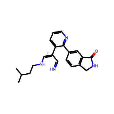 CC(C)CCN/C=C(\C=N)c1cccnc1-c1ccc2c(c1)C(=O)NC2